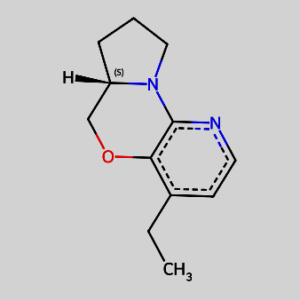 CCc1ccnc2c1OC[C@@H]1CCCN21